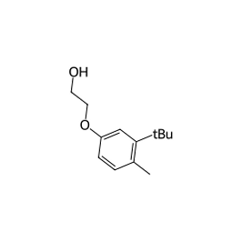 Cc1ccc(OCCO)cc1C(C)(C)C